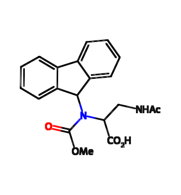 COC(=O)N(C(CNC(C)=O)C(=O)O)C1c2ccccc2-c2ccccc21